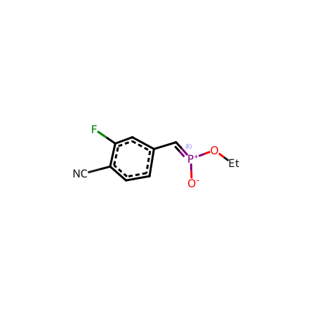 CCO/[P+]([O-])=C/c1ccc(C#N)c(F)c1